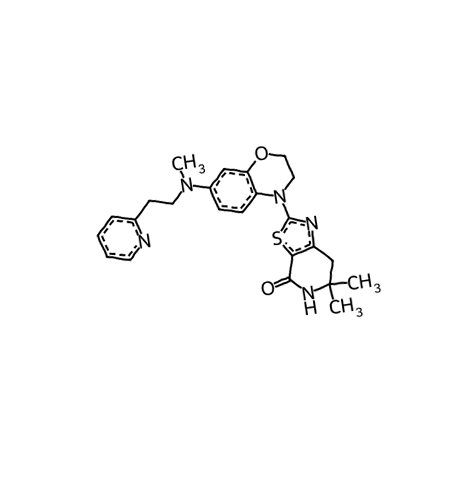 CN(CCc1ccccn1)c1ccc2c(c1)OCCN2c1nc2c(s1)C(=O)NC(C)(C)C2